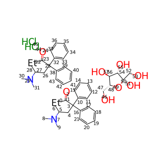 CCC(=O)C(CC(C)N(C)C)(c1ccccc1)c1ccccc1.CCC(=O)C(CC(C)N(C)C)(c1ccccc1)c1ccccc1.Cl.Cl.OC[C@H]1O[C@](O)(CO)[C@@H](O)[C@@H]1O